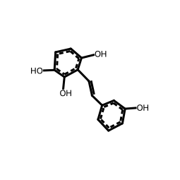 Oc1cccc(C=Cc2c(O)ccc(O)c2O)c1